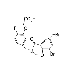 O=C(O)COc1cc(C[C@H]2COc3c(Br)cc(CBr)cc3C2=O)ccc1F